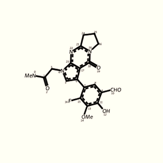 CNC(=O)Cn1cc(-c2cc(C=O)c(O)c(OC)c2F)c2c(=O)n3c(nc21)CCC3